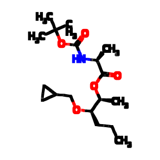 CCC[C@@H](OCC1CC1)[C@H](C)OC(=O)[C@H](C)NC(=O)OC(C)(C)C